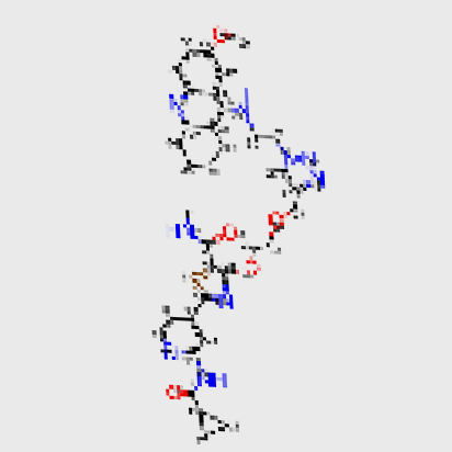 CNC(=O)c1sc(-c2ccnc(NC(=O)C3CC3)c2)nc1OCCOCc1cn(CCNc2c3c(nc4ccc(OC)cc24)CCCC3)nn1